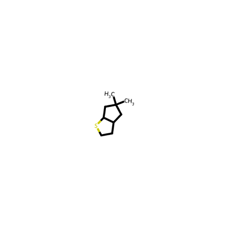 CC1(C)CC2CCSC2C1